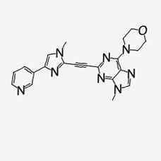 Cn1cc(-c2cccnc2)nc1C#Cc1nc(N2CCOCC2)c2ncn(C)c2n1